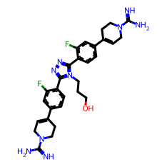 N=C(N)N1CC=C(c2ccc(-c3nnc(-c4ccc(C5=CCN(C(=N)N)CC5)cc4F)n3CCCO)c(F)c2)CC1